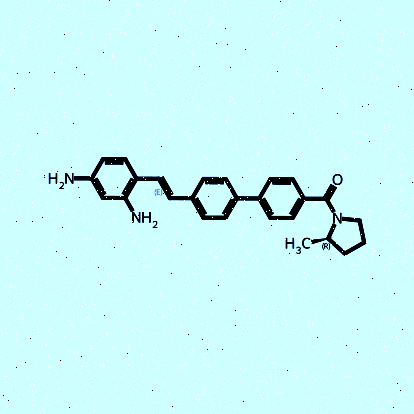 C[C@@H]1CCCN1C(=O)c1ccc(-c2ccc(/C=C/c3ccc(N)cc3N)cc2)cc1